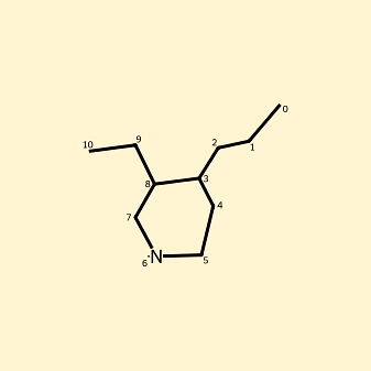 CCCC1CC[N]CC1CC